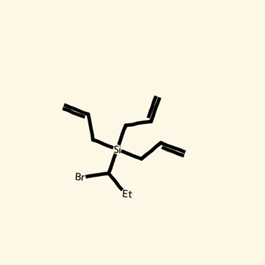 C=CC[Si](CC=C)(CC=C)C(Br)CC